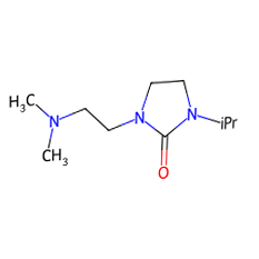 CC(C)N1CCN(CCN(C)C)C1=O